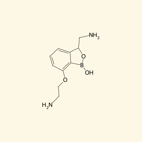 NCCOc1cccc2c1B(O)OC2CN